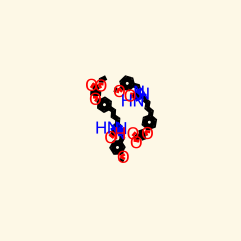 CCOC(=O)C(C)(C)Oc1ccc(CCCc2nn(Cc3cccc(OC)c3)c(=O)[nH]2)cc1.COc1cccc(Cn2nc(CCCc3ccc(OC(C)(C)C(=O)O)cc3)[nH]c2=O)c1